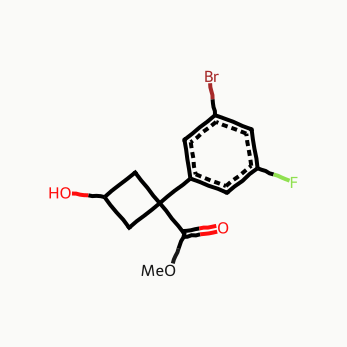 COC(=O)C1(c2cc(F)cc(Br)c2)CC(O)C1